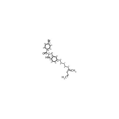 C=CCN(C)CCCCCc1ccc2c(c1)CC(C(=O)c1ccc(Br)cc1)N2